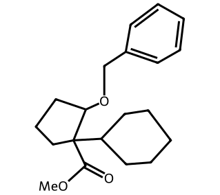 COC(=O)C1(C2CCCCC2)CCCC1OCc1ccccc1